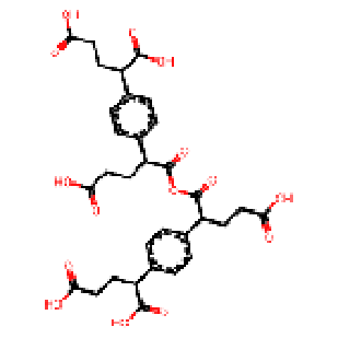 O=C(O)CCC(C(=O)O)c1ccc(C(CCC(=O)O)C(=O)OC(=O)C(CCC(=O)O)c2ccc(C(CCC(=O)O)C(=O)O)cc2)cc1